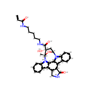 C=CC(=O)NCCCCCNC(=O)[C@@]1(O)CC2O[C@]1(C)n1c3ccccc3c3c4c(c5c6ccccc6n2c5c31)C(=O)NC4